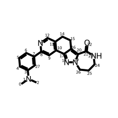 CN(C)c1cccc(-c2cc3c(cn2)CCc2c-3nn3c2C(=O)NCCC3)c1